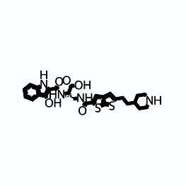 O=C(NC[C@H](NC(=O)c1[nH]c2ccccc2c1O)C(=O)O)c1cc2cc(CCC3CCNCC3)sc2s1